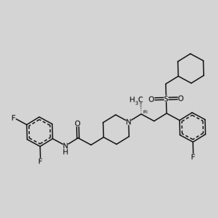 C[C@H](CC(c1cccc(F)c1)S(=O)(=O)CC1CCCCC1)N1CCC(CC(=O)Nc2ccc(F)cc2F)CC1